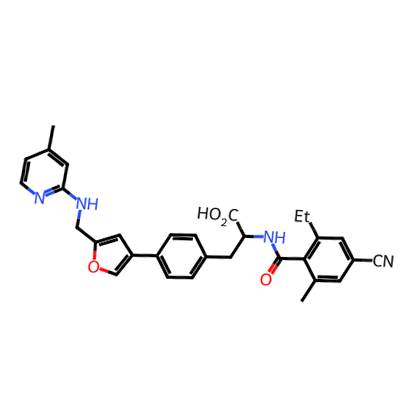 CCc1cc(C#N)cc(C)c1C(=O)NC(Cc1ccc(-c2coc(CNc3cc(C)ccn3)c2)cc1)C(=O)O